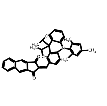 Cc1cc(C)c(N2c3ccccc3C(C(C)C)(C(C)C)c3cc(C=C4C(=O)c5cc6ccccc6cc5C4=O)ccc32)c(C)c1